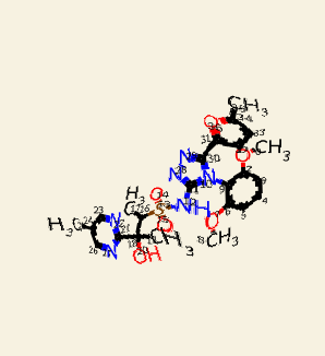 COc1cccc(OC)c1-n1c(NS(=O)(=O)C(C)C(C)(O)c2ncc(C)cn2)nnc1-c1ccc(C)o1